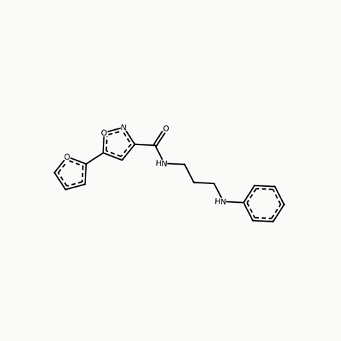 O=C(NCCCNc1ccccc1)c1cc(-c2ccco2)on1